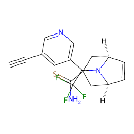 C#Cc1cncc(C2(C(N)=S)C[C@H]3C=C[C@@H](C2)N3CC(F)(F)F)c1